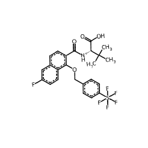 CC(C)(C)[C@H](NC(=O)c1ccc2cc(F)ccc2c1OCc1ccc(S(F)(F)(F)(F)F)cc1)C(=O)O